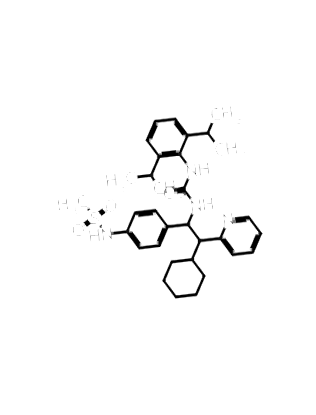 CC(C)c1cccc(C(C)C)c1NC(=O)NC(c1ccc(NS(C)(=O)=O)cc1)C(c1ccccn1)C1CCCCC1